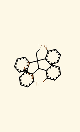 [CH2]CC([C](c1ccccc1S)c1ccccc1S)(c1ccccc1S)c1ccccc1S